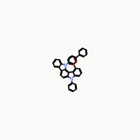 c1ccc(-c2ccc(-n3c4ccccc4c4ccc5c(c6c(-c7ccccc7)cccc6n5-c5ccccc5)c43)cc2)cc1